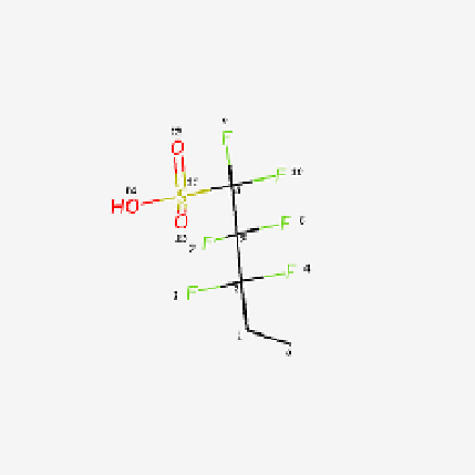 CCC(F)(F)C(F)(F)C(F)(F)S(=O)(=O)O